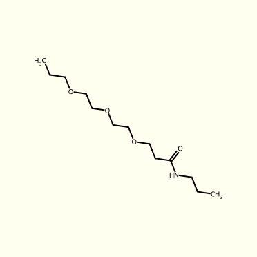 CCCNC(=O)CCOCCOCCOCCC